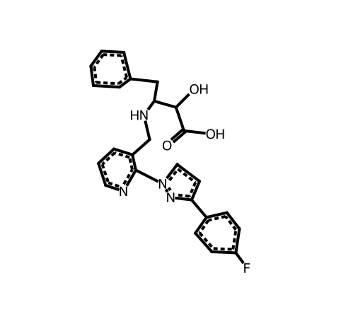 O=C(O)C(O)C(Cc1ccccc1)NCc1cccnc1-n1ccc(-c2ccc(F)cc2)n1